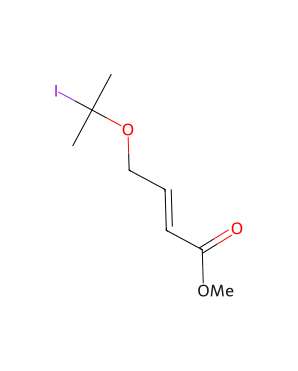 COC(=O)/C=C/COC(C)(C)I